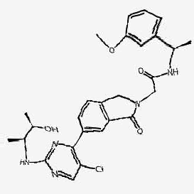 COc1cccc([C@@H](C)NC(=O)CN2Cc3ccc(-c4nc(N[C@@H](C)[C@@H](C)O)ncc4Cl)cc3C2=O)c1